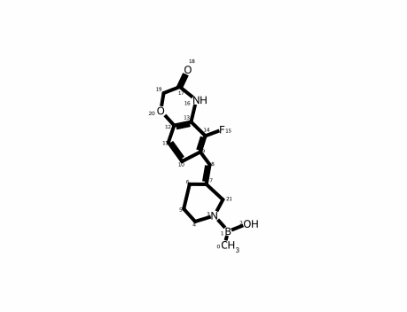 CB(O)N1CCCC(=Cc2ccc3c(c2F)NC(=O)CO3)C1